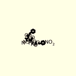 CC(=O)C(OC(=O)OCc1ccc([N+](=O)[O-])cc1)[C@H]1C(=O)N2C(C(=O)OCc3ccccc3)=C(C)C(=[N+]=[N-])S[C@@H]12